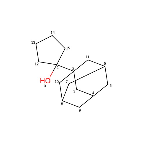 OC1(C23CC4CC(CC(C4)C2)C3)CCCC1